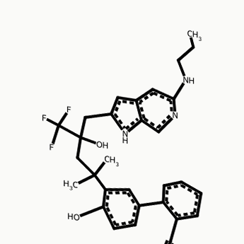 CCCNc1cc2cc(CC(O)(CC(C)(C)c3cc(-c4ccccc4C#N)ccc3O)C(F)(F)F)[nH]c2cn1